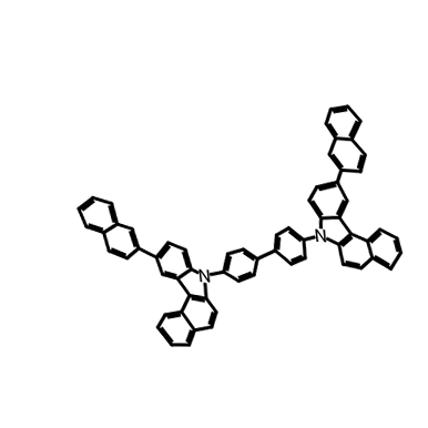 c1ccc2cc(-c3ccc4c(c3)c3c5ccccc5ccc3n4-c3ccc(-c4ccc(-n5c6ccc(-c7ccc8ccccc8c7)cc6c6c7ccccc7ccc65)cc4)cc3)ccc2c1